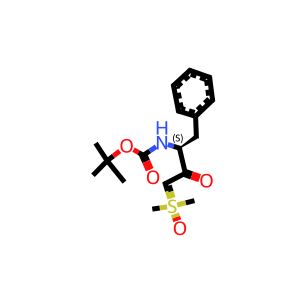 CC(C)(C)OC(=O)N[C@@H](Cc1ccccc1)C(=O)C=S(C)(C)=O